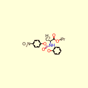 CC(C)OC(=O)[C@H](C)N[P@](=O)(Oc1ccccc1)Oc1ccc([N+](=O)[O-])cc1